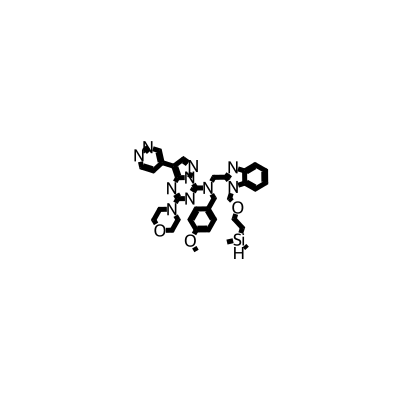 COc1ccc(CN(Cc2nc3ccccc3n2COCC[SiH](C)C)c2nc(N3CCOCC3)nc3c(-c4ccnnc4)cnn23)cc1